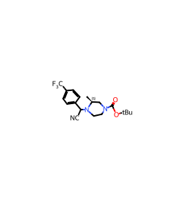 C[C@H]1CN(C(=O)OC(C)(C)C)CCN1C(C#N)c1ccc(C(F)(F)F)cc1